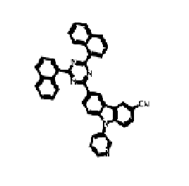 N#Cc1ccc2c(c1)c1cc(-c3nc(-c4cccc5ccccc45)nc(-c4cccc5ccccc45)n3)ccc1n2-c1cccnc1